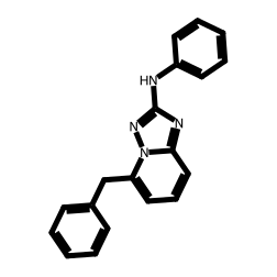 c1ccc(Cc2cccc3nc(Nc4ccccc4)nn23)cc1